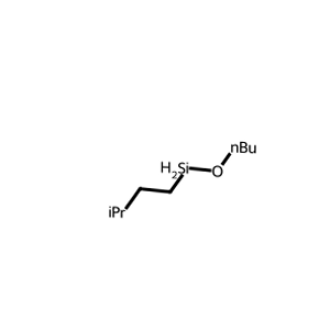 CCCCO[SiH2]CCC(C)C